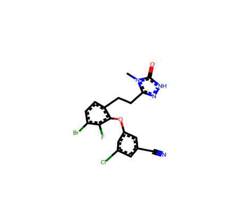 Cn1c(CCc2ccc(Br)c(F)c2Oc2cc(Cl)cc(C#N)c2)n[nH]c1=O